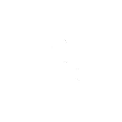 NC(=O)C(=O)C(Cc1ccccc1)NC(=O)c1cncn1-c1ccoc1